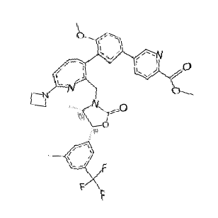 COC(=O)c1ccc(-c2ccc(OC)c(-c3ccc(N4CCC4)nc3CN3C(=O)O[C@H](c4cc(C)cc(C(F)(F)F)c4)[C@@H]3C)c2)cn1